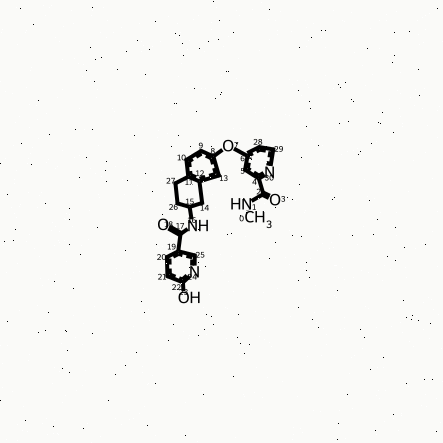 CNC(=O)c1cc(Oc2ccc3c(c2)CC(NC(=O)c2ccc(O)nc2)CC3)ccn1